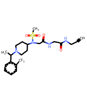 C#CCNC(=O)CNC(=O)CN(C1CCN(C(C)c2ccccc2C(F)(F)F)CC1)S(C)(=O)=O